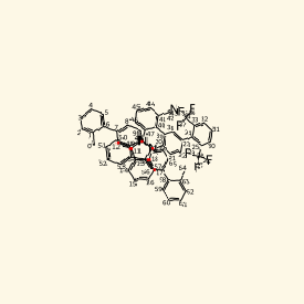 Cc1ccccc1-c1ccc2c(c1)c1ccccc1n2-c1ccc(-c2c(C(F)(F)F)cccc2C(F)(F)F)cc1-c1c(C#N)cccc1-n1c2ccccc2c2cc(-c3ccccc3C)ccc21